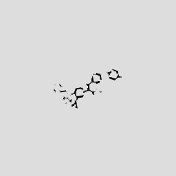 CNC(=O)c1c(-c2ccc(Oc3ccc(F)cc3)cc2)oc2cc(N(CCS(C)(=O)=O)S(C)(=O)=O)c(C3CC3)cc12